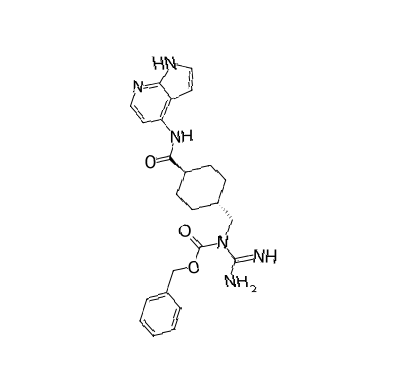 N=C(N)N(C[C@H]1CC[C@H](C(=O)Nc2ccnc3[nH]ccc23)CC1)C(=O)OCc1ccccc1